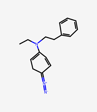 CCN(CCc1ccccc1)C1=CCC(=[N+]=[N-])C=C1